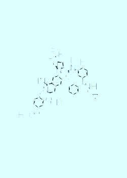 COc1ccc(Cn2ccc3ccc(-n4nc(C(F)(F)F)cc4C(=O)Nc4cc(C(NCC5CC5)c5ccccc5)ccc4F)cc3c2=N)c(OC)c1